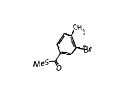 CSC(=O)c1ccc(C)c(Br)c1